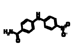 NC(=O)c1ccc(Nc2ccc([N+](=O)[O-])cc2)cc1